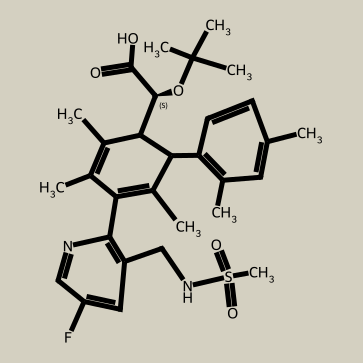 CC1=C(C)C([C@H](OC(C)(C)C)C(=O)O)C(c2ccc(C)cc2C)C(C)=C1c1ncc(F)cc1CNS(C)(=O)=O